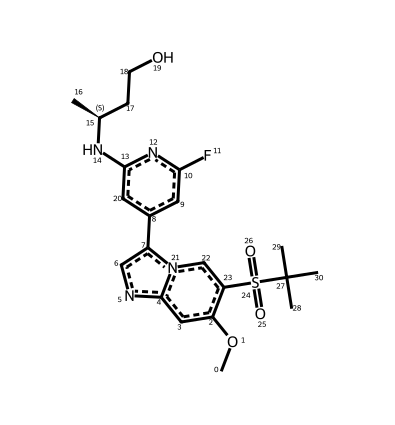 COc1cc2ncc(-c3cc(F)nc(N[C@@H](C)CCO)c3)n2cc1S(=O)(=O)C(C)(C)C